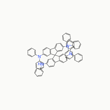 c1ccc(Nc2ccc3c(c2)C2(c4cc(N(c5ccccc5)c5ccccc5)ccc4-3)c3cc(N(c4ccccc4)c4ccccc4)ccc3-c3ccc([N+](c4ccccc4)(c4ccccc4)c4ccccc4)cc32)cc1